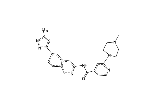 CN1CCN(c2cc(C(=O)Nc3cc4cc(-c5nnc(C(F)(F)F)s5)ccc4cn3)ccn2)CC1